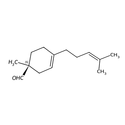 CC(C)=CCCC1=CC[C@@](C)(C=O)CC1